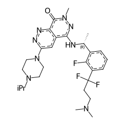 CC(C)N1CCN(c2cc3c(N[C@H](C)c4cccc(C(F)(F)CCN(C)C)c4F)nn(C)c(=O)c3nn2)CC1